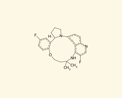 CC1(C)CCOc2ccc(F)cc2[C@H]2CCCN2c2ccc3ncc(F)c(c3c2)N1